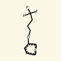 FC(F)(F)CCCOc1ccccc1